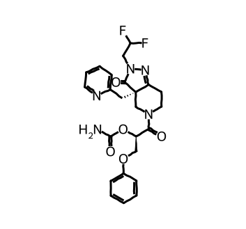 NC(=O)O[C@H](COc1ccccc1)C(=O)N1CCC2=NN(CC(F)F)C(=O)[C@]2(Cc2ccccn2)C1